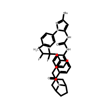 Cc1ccc(-n2nc(C(C)(C)C)cc2NC(=O)Nc2ccc(CC3CC4CCC(C3)N4C(=O)c3cccc(OC(F)(F)C(F)F)c3)cc2)cc1